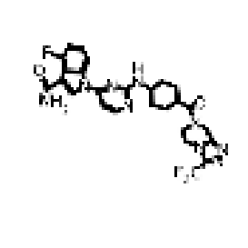 NC(=O)c1cn(-c2ccnc(NC3CCC(C(=O)N4CCn5c(nnc5C(F)(F)F)C4)CC3)n2)c2cccc(F)c12